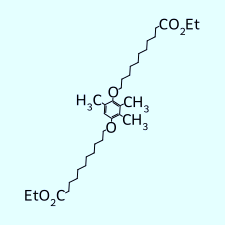 CCOC(=O)CCCCCCCCCCOc1cc(C)c(OCCCCCCCCCCC(=O)OCC)c(C)c1C